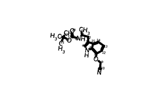 CC(Cc1c[nH]c2c(OCC#N)cccc12)NC(=O)OC(C)(C)C